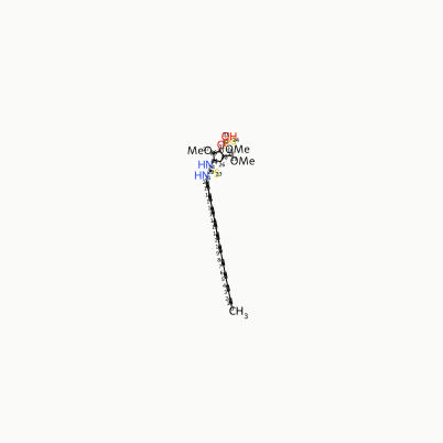 CC#CC#CC#CC#CC#CC#CC#CC#CC#CC#CNC(=S)N[C@@H]1C[C@H](COC)C(OP(O)(=S)OC)[C@@H]1OC